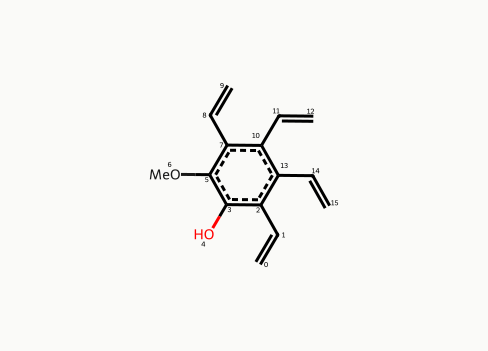 C=Cc1c(O)c(OC)c(C=C)c(C=C)c1C=C